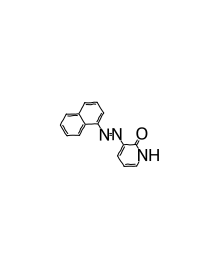 O=c1[nH]cccc1N=Nc1cccc2ccccc12